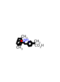 C=C(C(=O)O)c1ccc(CC(N)C23CC4CC(C)(CC(C)(C4)C2)C3)cc1